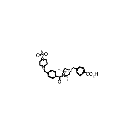 C[C@@H]1CN(Cc2ccc(C(=O)O)cc2)C[C@H](C)N1C(=O)c1ccc(CN2CCN(S(C)(=O)=O)CC2)cc1